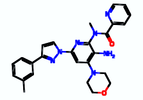 Cc1cccc(-c2ccn(-c3cc(N4CCOCC4)c(N)c(N(C)C(=O)c4ccccn4)n3)n2)c1